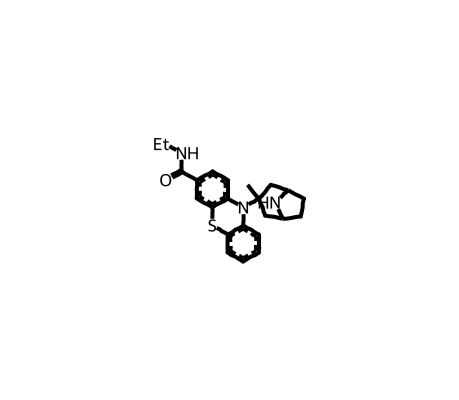 CCNC(=O)c1ccc2c(c1)Sc1ccccc1N2C1(C)CC2CCC(C1)N2